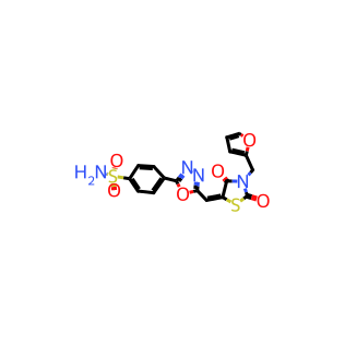 NS(=O)(=O)c1ccc(-c2nnc(/C=C3/SC(=O)N(Cc4ccco4)C3=O)o2)cc1